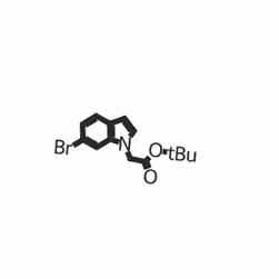 CC(C)(C)OC(=O)Cn1ccc2ccc(Br)cc21